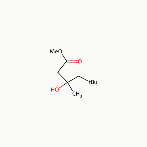 COC(=O)CC(C)(O)CC(C)(C)C